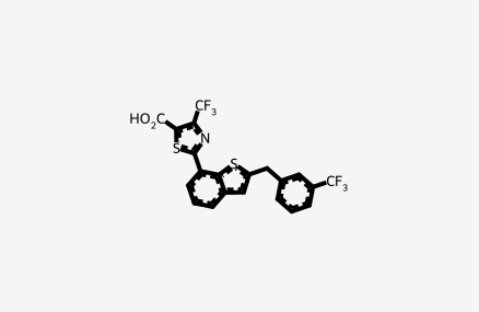 O=C(O)c1sc(-c2cccc3cc(Cc4cccc(C(F)(F)F)c4)sc23)nc1C(F)(F)F